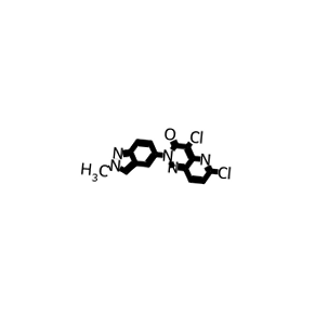 Cn1cc2cc(-n3nc4ccc(Cl)nc4c(Cl)c3=O)ccc2n1